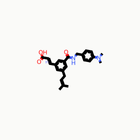 CC(C)=CCc1cc(/C=C/C(=O)O)cc(C(=O)NCc2ccc(N(C)C)cc2)c1